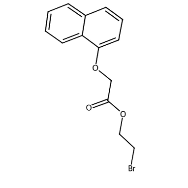 O=C(COc1cccc2ccccc12)OCCBr